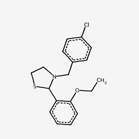 CCOc1ccccc1C1SCCN1Cc1ccc(Cl)cc1